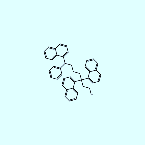 [CH2]CCC(CCCC(c1ccccc1)c1cccc2ccccc12)(c1cccc2ccccc12)c1cccc2ccccc12